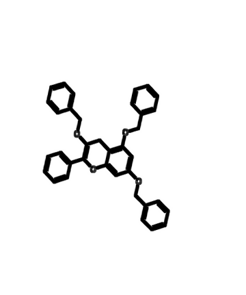 c1ccc(COC2=C(c3ccccc3)Oc3cc(OCc4ccccc4)cc(OCc4ccccc4)c3C2)cc1